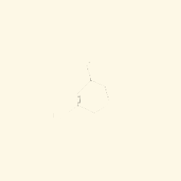 CC1=CC(O)[C@H](O)OC1